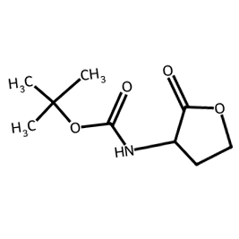 CC(C)(C)OC(=O)NC1CCOC1=O